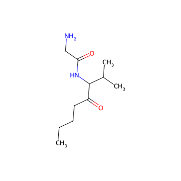 CCCCC(=O)C(NC(=O)CN)C(C)C